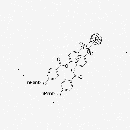 CCCCCOc1ccc(C(=O)Oc2ccc(OC(=O)[C]34[CH]5[CH]6[CH]7[CH]3[Fe]6754389%10[CH]4[CH]3[CH]8[C]9(C(=O)Oc3ccc(OC(=O)c5ccc(OCCCCC)cc5)cc3)[CH]4%10)cc2)cc1